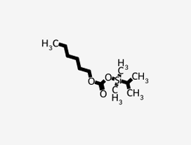 CCCCCCOC(=O)O[Si](C)(C)C(C)C